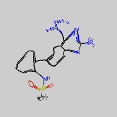 CS(=O)(=O)Nc1ccccc1-c1ccc2nc(N)nc(NN)c2c1